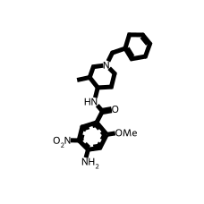 COc1cc(N)c([N+](=O)[O-])cc1C(=O)NC1CCN(CC2=CCC=CC2)CC1C